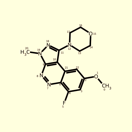 COc1cc(F)c2nnc3c(c(N4CCOCC4)nn3C)c2c1